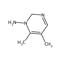 CC1=C(C)N(N)CN=C1